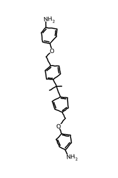 CC(C)(c1ccc(COc2ccc(N)cc2)cc1)c1ccc(COc2ccc(N)cc2)cc1